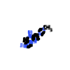 CN1CCN(c2cnc3c(c2)NC[C@H]2CNCCN32)CC1